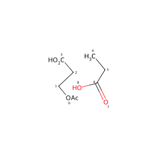 CC(=O)OCCC(=O)O.CCC(=O)O